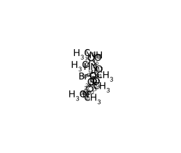 CCc1cc(C)[nH]c(=O)c1CNC(=O)c1cc(Br)c2c(c1C)OC(C)([C@H]1CC[C@H](N(C)C)CC1)O2